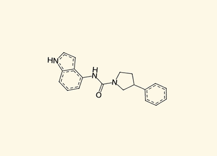 O=C(Nc1cccc2[nH]ccc12)N1CCC(c2ccccc2)C1